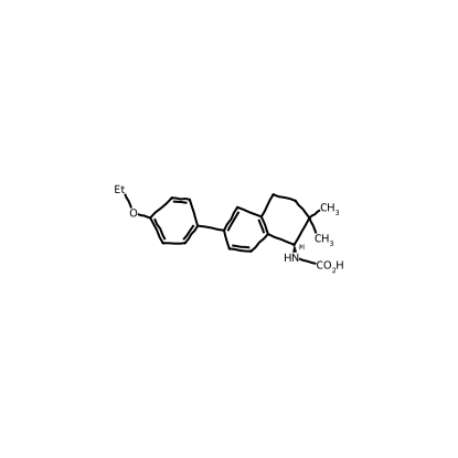 CCOc1ccc(-c2ccc3c(c2)CCC(C)(C)[C@H]3NC(=O)O)cc1